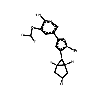 CC(C)n1nc(-c2cnc(N)c(OC(F)F)c2)cc1[C@H]1[C@@H]2C[C@@H](Cl)C[C@@H]21